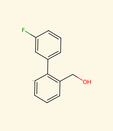 OCc1ccc[c]c1-c1cccc(F)c1